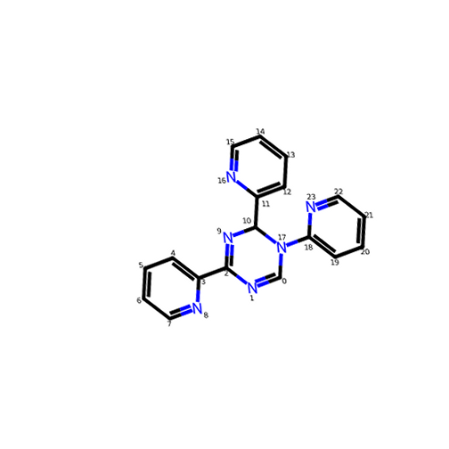 C1=NC(c2ccccn2)=NC(c2ccccn2)N1c1ccccn1